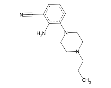 CCCN1CCN(c2cccc(C#N)c2N)CC1